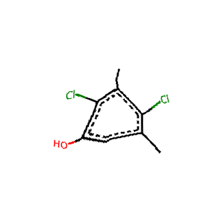 Cc1cc(O)c(Cl)c(C)c1Cl